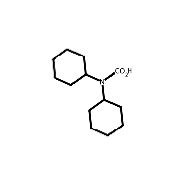 O=C(O)N(C1CCCCC1)C1CCCCC1